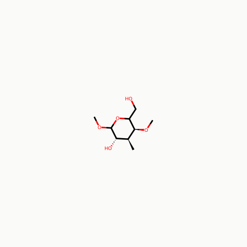 COC1OC(CO)[C@@H](OC)[C@@H](C)[C@@H]1O